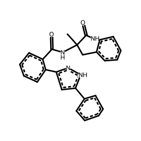 CC(Cc1ccccc1)(NC(=O)c1ccccc1-c1cc(-c2ccccc2)[nH]n1)C(N)=O